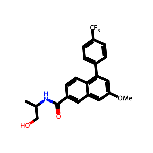 COc1cc(-c2ccc(C(F)(F)F)cc2)c2ccc(C(=O)NC(C)CO)cc2c1